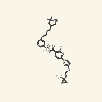 CC1(C)CC(CCCCc2cccc(S(=O)(=O)NC(=O)c3ccc(-n4ccc(OCCC5(C(F)(F)F)CC5)n4)nc3Cl)c2)CN1